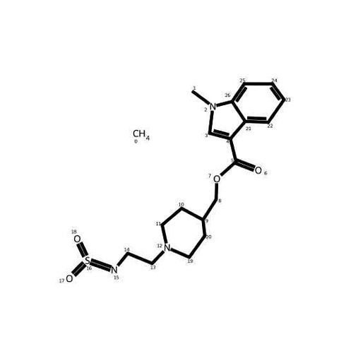 C.Cn1cc(C(=O)OCC2CCN(CCN=S(=O)=O)CC2)c2ccccc21